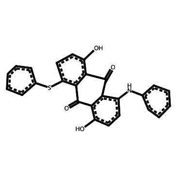 O=C1c2c(O)ccc(Sc3ccccc3)c2C(=O)c2c(O)ccc(Nc3ccccc3)c21